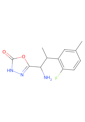 Cc1ccc(F)c(C(C)C(N)c2n[nH]c(=O)o2)c1